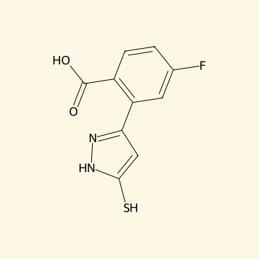 O=C(O)c1ccc(F)cc1-c1cc(S)[nH]n1